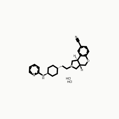 Cl.Cl.N#Cc1ccc2c(c1)[C@@H]1CN(CC[C@H]3CC[C@H](Nc4ccccn4)CC3)C[C@H]1CO2